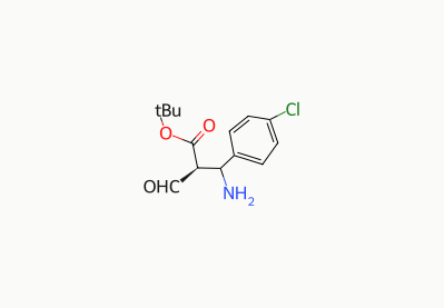 CC(C)(C)OC(=O)[C@H](C=O)C(N)c1ccc(Cl)cc1